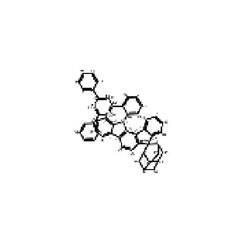 c1ccc(-c2nc(-c3ccccc3)nc(-c3ccccc3-n3c4ccccc4c4ccc5c(c43)-c3ccccc3C53C4CC5CC(C4)CC3C5)n2)cc1